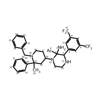 CC(=O)C1(N)C(c2cc(C(F)(F)F)cc(C(F)(F)F)c2)NCCN1C1CCN(Cc2ccccc2)C(C)(c2ccccc2)C1